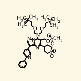 C[Si](C)(C)CCOCN(COCC[Si](C)(C)C)c1c(COS(C)(=O)=O)c(C2CCS(=O)(=O)CC2)nc2c(-c3ccc(-c4ccccc4)nc3)cnn12